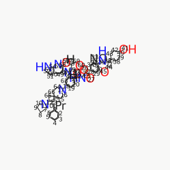 CC(C)c1ccccc1[C@@H]1CCCN1C1CC2(CCN(c3ccc(C(=O)NS(=O)(=O)c4cc5c(c([N+](=O)[O-])c4)N[C@@H](C4CCC(O)CC4)CO5)c(N4c5cc6cc[nH]c6nc5O[C@H]5COC[C@@H]54)c3)CC2)C1